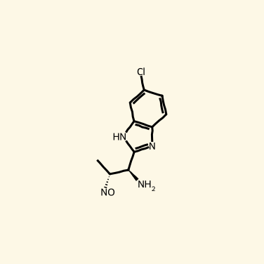 C[C@@H](N=O)[C@H](N)c1nc2ccc(Cl)cc2[nH]1